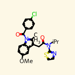 COc1ccc2c(c1)c(CC(=O)N(c1nccs1)C(C)C)c(C)n2C(=O)c1ccc(Cl)cc1